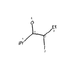 CCC(I)C([O])C(C)C